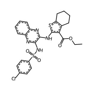 CCOC(=O)c1c(Nc2nc3ccccc3nc2NS(=O)(=O)c2ccc(Cl)cc2)sc2c1CCCC2